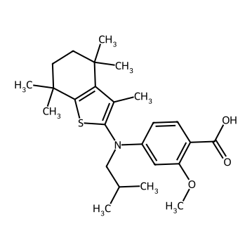 COc1cc(N(CC(C)C)c2sc3c(c2C)C(C)(C)CCC3(C)C)ccc1C(=O)O